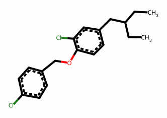 CCC(CC)Cc1ccc(OCc2ccc(Cl)cc2)c(Cl)c1